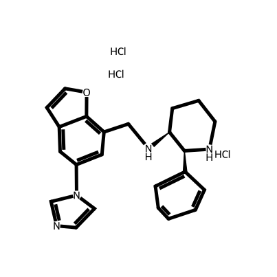 Cl.Cl.Cl.c1ccc([C@@H]2NCCC[C@@H]2NCc2cc(-n3ccnc3)cc3ccoc23)cc1